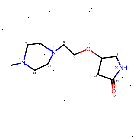 CN1CCN(CCOC2CNC(=O)C2)CC1